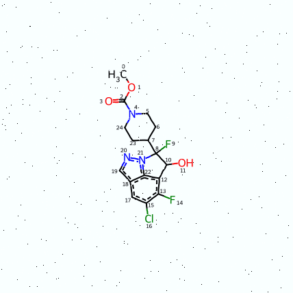 COC(=O)N1CCC(C2(F)C(O)c3c(F)c(Cl)cc4cnn2c34)CC1